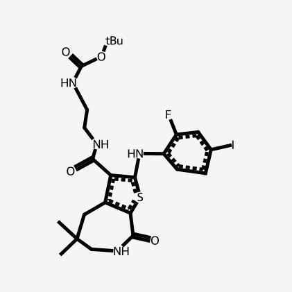 CC1(C)CNC(=O)c2sc(Nc3ccc(I)cc3F)c(C(=O)NCCNC(=O)OC(C)(C)C)c2C1